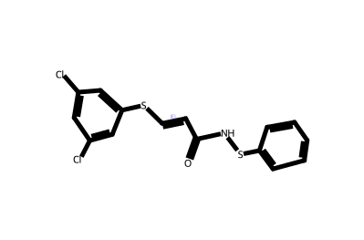 O=C(/C=C/Sc1cc(Cl)cc(Cl)c1)NSc1ccccc1